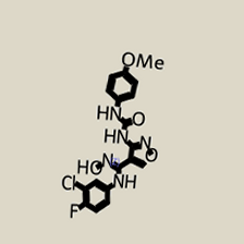 COc1ccc(NC(=O)Nc2nocc2/C(=N/O)Nc2ccc(F)c(Cl)c2)cc1